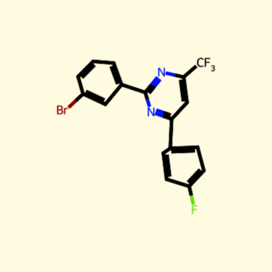 Fc1ccc(-c2cc(C(F)(F)F)nc(-c3cccc(Br)c3)n2)cc1